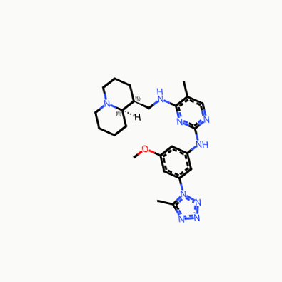 COc1cc(Nc2ncc(C)c(NC[C@@H]3CCCN4CCCC[C@H]34)n2)cc(-n2nnnc2C)c1